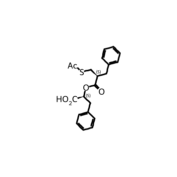 CC(=O)SC[C@@H](Cc1ccccc1)C(=O)O[C@@H](Cc1ccccc1)C(=O)O